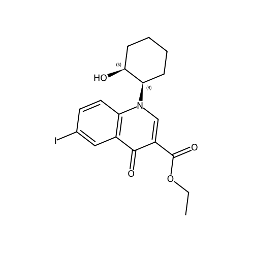 CCOC(=O)c1cn([C@@H]2CCCC[C@@H]2O)c2ccc(I)cc2c1=O